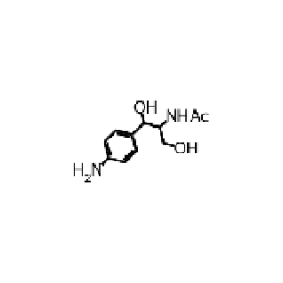 CC(=O)NC(CO)C(O)c1ccc(N)cc1